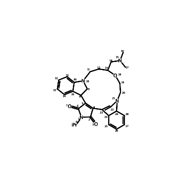 CC(C)N1C(=O)C2=C(C1=O)C1CN(CCC(CN(C)C)OCCN3C=C2C2C=CC=CC23)c2ccccc21